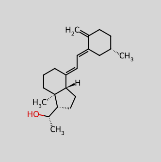 C=C1CC[C@H](C)C/C1=C\C=C1/CCC[C@]2(C)[C@@H]([C@H](C)O)CC[C@@H]12